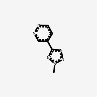 Cn1nnc(-c2ccnnc2)n1